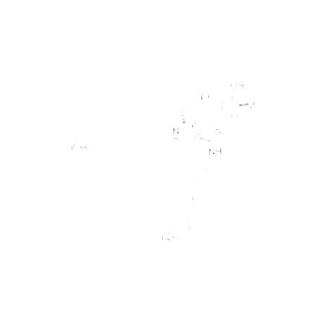 CCCCCCCCCCCCCCCCCCNC(=O)OCC(OC(=O)NCCCCCCCCCCCCCCCCCC)C1OC(=O)C(O)=C1O